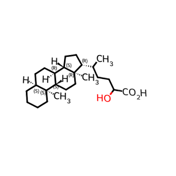 CC(CCC(O)C(=O)O)[C@H]1CC[C@H]2[C@@H]3CC[C@@H]4CCCC[C@]4(C)[C@H]3CC[C@]12C